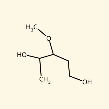 COC(CCO)C(C)O